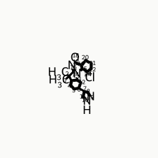 CC1(C)c2ccc(-c3cn[nH]c3)cc2-n2c1nc(=O)c1cccc(Cl)c12